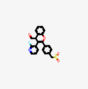 O=CC1C(c2cccnc2F)=C(c2ccc(C[SH](=O)=O)cc2)Oc2ccccc21